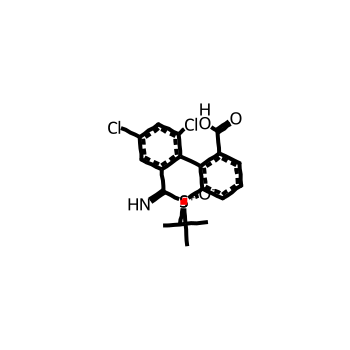 CSc1cccc(C(=O)O)c1-c1c(Cl)cc(Cl)cc1C(=N)[S+]([O-])C(C)(C)C